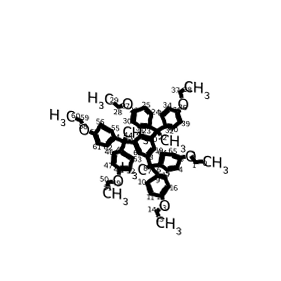 CCOc1ccc(C(C)(c2ccc(OCC)cc2)c2cc(C(C)(c3ccc(OCC)cc3)c3ccc(OCC)cc3)cc(C(C)(c3ccc(OCC)cc3)c3ccc(OCC)cc3)c2)cc1